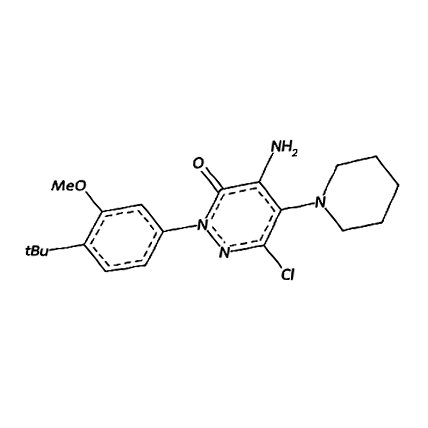 COc1cc(-n2nc(Cl)c(N3CCCCC3)c(N)c2=O)ccc1C(C)(C)C